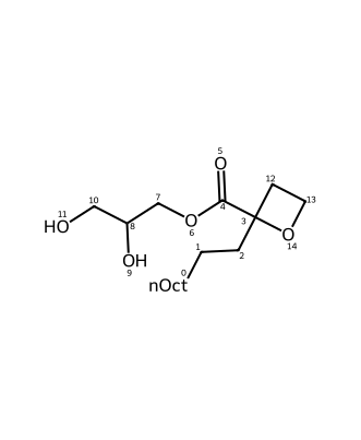 CCCCCCCCCCC1(C(=O)OCC(O)CO)CCO1